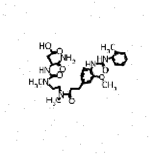 COc1cc(CCC(=O)N(C)CCN(C)C(=O)NC(CC(=O)O)C(N)=O)ccc1NC(=O)Nc1ccccc1C